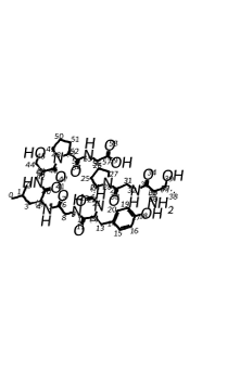 CC(C)C[C@H](NC(=O)CNC(=O)[C@H](Cc1ccc(O)cc1)NC(=O)[C@@H]1CCCN1C(=O)CNC(=O)[C@@H](N)[C@@H](C)O)C(=O)N[C@@H](CO)C(=O)N1CCC[C@H]1C(=O)NCC(=O)O